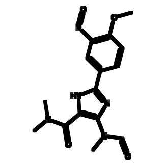 COc1ccc(-c2nc(N(C)C=O)c(C(=O)N(C)C)[nH]2)cc1N=O